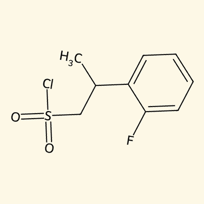 CC(CS(=O)(=O)Cl)c1ccccc1F